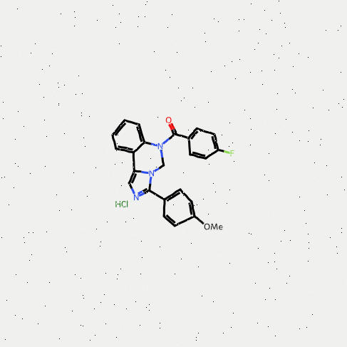 COc1ccc(-c2ncc3n2CN(C(=O)c2ccc(F)cc2)c2ccccc2-3)cc1.Cl